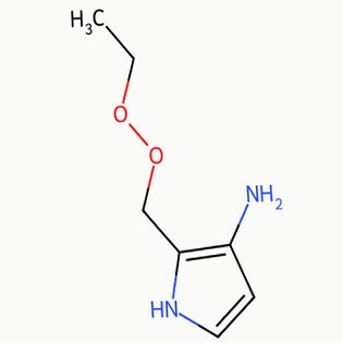 CCOOCc1[nH]ccc1N